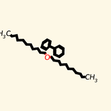 CCCCCCCCCCCOCCCCCCCCCCC.c1ccc(-c2ccccc2)cc1